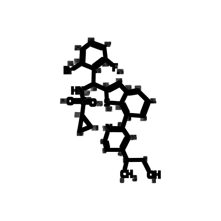 CC(CO)c1ccnc(-c2cccc3cc(C(NS(=O)(=O)C4CC4)c4c(F)cccc4Br)sc23)c1